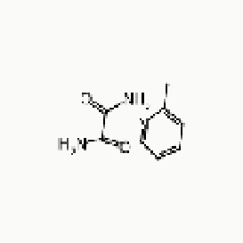 Cc1ccccn1.NC(=O)C(N)=O